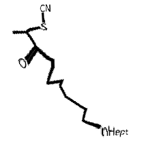 CCCCCCCCCCCCCC(=O)C(C)SC#N